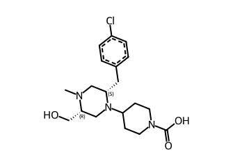 CN1C[C@H](Cc2ccc(Cl)cc2)N(C2CCN(C(=O)O)CC2)C[C@@H]1CO